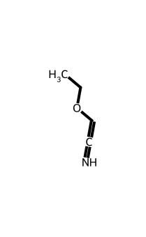 CCOC=C=N